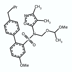 COc1ccc(-c2ccc(CC(C)C)cc2)c(S(=O)(=O)N(COC(C)OC)c2onc(C)c2C)c1